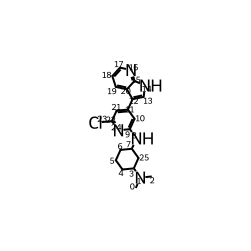 CN(C)C1CCCC(Nc2cc(-c3c[nH]c4ncccc34)cc(Cl)n2)C1